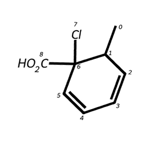 CC1C=CC=CC1(Cl)C(=O)O